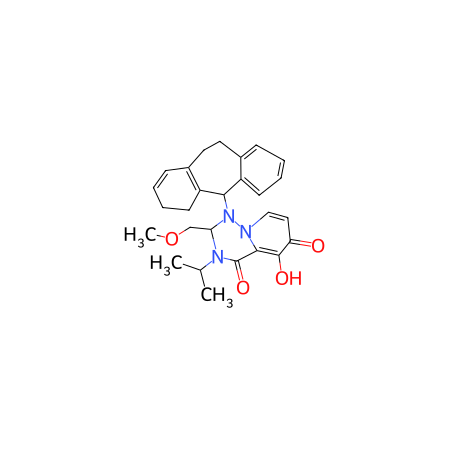 COCC1N(C(C)C)C(=O)c2c(O)c(=O)ccn2N1C1C2=C(C=CCC2)CCc2ccccc21